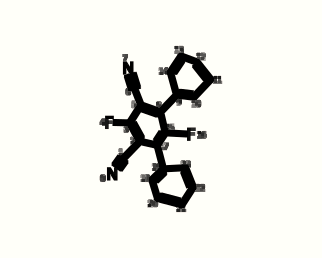 N#Cc1c(F)c(C#N)c(-c2ccccc2)c(F)c1-c1ccccc1